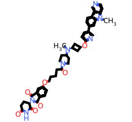 Cn1c2ccncc2c2ccc(-c3ccc(O[C@H]4C[C@H](N(C)C5CCN(C(=O)CCCCOc6ccc7c(c6)C(=O)N(C6CCC(=O)NC6=O)C7=O)CC5)C4)nc3)cc21